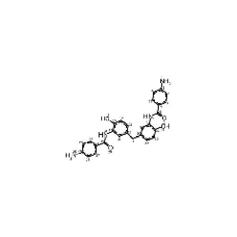 Nc1ccc(C(=O)Nc2cc(Cc3ccc(O)c(NC(=O)c4ccc(N)cc4)c3)ccc2O)cc1